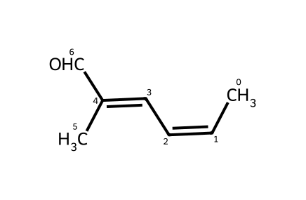 C/C=C\C=C(/C)C=O